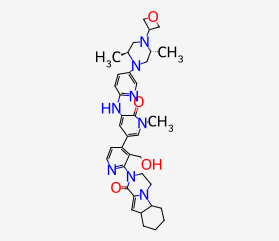 C[C@@H]1CN(c2ccc(Nc3cc(-c4ccnc(N5CCN6C(=CC7CCCCC76)C5=O)c4CO)cn(C)c3=O)nc2)[C@@H](C)CN1C1COC1